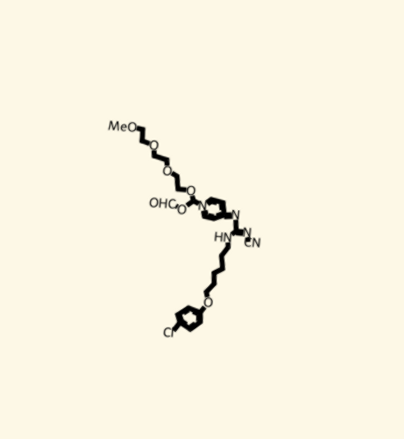 COCCOCCOCCOC(OC=O)n1ccc(=NC(=NC#N)NCCCCCCOc2ccc(Cl)cc2)cc1